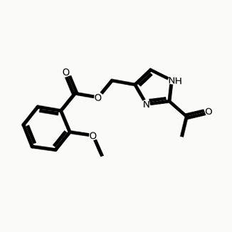 COc1ccccc1C(=O)OCc1c[nH]c(C(C)=O)n1